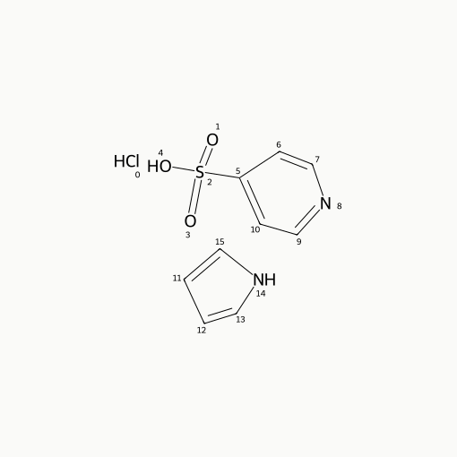 Cl.O=S(=O)(O)c1ccncc1.c1cc[nH]c1